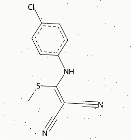 CSC(Nc1ccc(Cl)cc1)=C(C#N)C#N